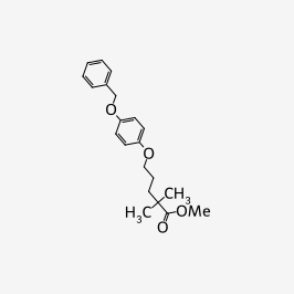 COC(=O)C(C)(C)CCCOc1ccc(OCc2ccccc2)cc1